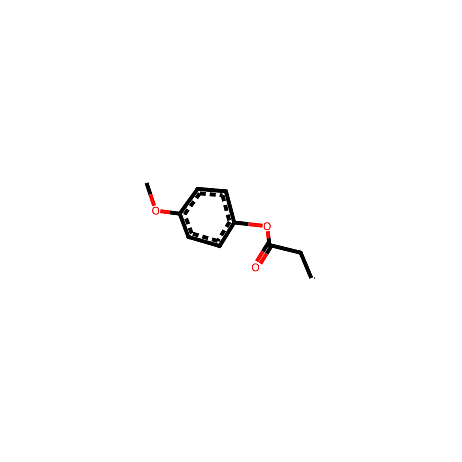 [CH2]CC(=O)Oc1ccc(OC)cc1